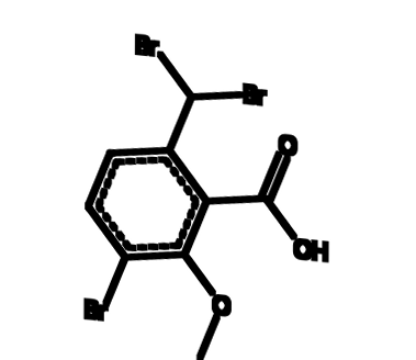 COc1c(Br)ccc(C(Br)Br)c1C(=O)O